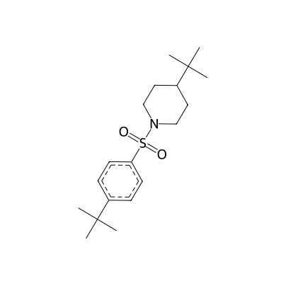 CC(C)(C)c1ccc(S(=O)(=O)N2CCC(C(C)(C)C)CC2)cc1